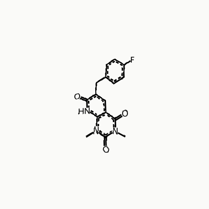 Cn1c(=O)c2cc(Cc3ccc(F)cc3)c(=O)[nH]c2n(C)c1=O